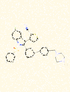 Cc1ccc(S(=O)(=O)n2c(-c3cccc(-c4ccc(CN5CCN(C)CC5)cc4)c3)c(-c3ccsc3C#N)c3cc(F)ccc32)cc1